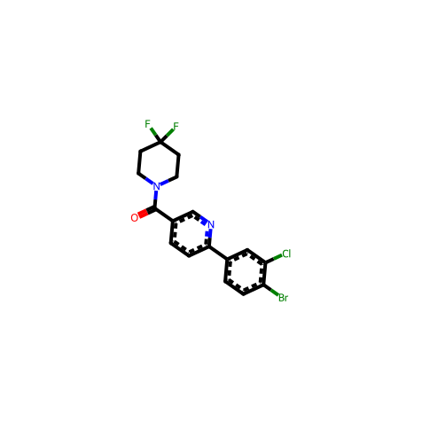 O=C(c1ccc(-c2ccc(Br)c(Cl)c2)nc1)N1CCC(F)(F)CC1